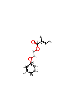 CC=C(C)C(=O)OCCOc1ccccc1